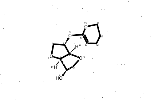 O[C@@H]1CO[C@H]2[C@@H]1OC[C@H]2OC1=CCCCO1